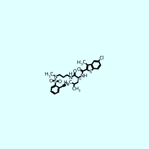 Cc1c(C(=O)N[C@@H](CC(C)C)C(=O)NCCCN(C)S(=O)(=O)c2ccccc2C#N)sc2ccc(Cl)cc12